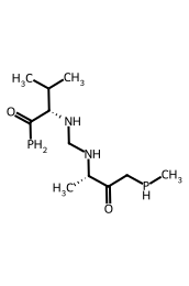 CPCC(=O)[C@H](C)NCN[C@H](C(=O)P)C(C)C